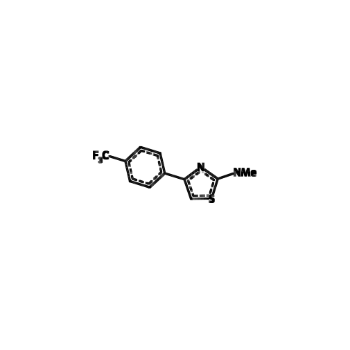 CNc1nc(-c2ccc(C(F)(F)F)cc2)cs1